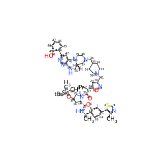 Cc1ncsc1-c1ccc(C(C)NC(=O)[C@@H]2C[C@@H](O[Si](C)(C)C(C)(C)C)CN2C(=O)C(c2cc(CN3CCC(CN4CCN5c6cc(-c7ccccc7O)nnc6NC[C@H]5C4)CC3)no2)C(C)C)cc1